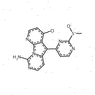 C[S+]([O-])c1nccc(-c2c3c(Cl)ccnc3n3c(N)nccc23)n1